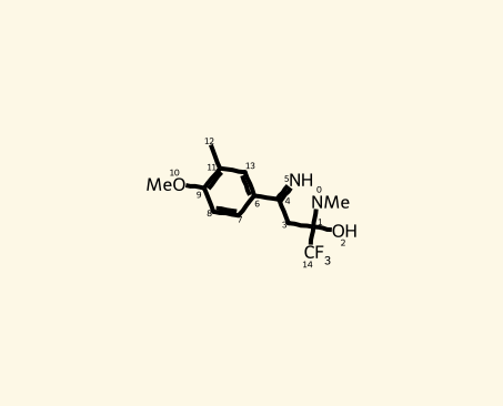 CNC(O)(CC(=N)c1ccc(OC)c(C)c1)C(F)(F)F